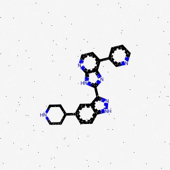 c1cncc(-c2ccnc3[nH]c(-c4n[nH]c5ccc(C6CCNCC6)cc45)nc23)c1